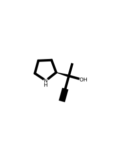 C#CC(C)(O)[C@@H]1CCCN1